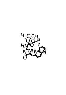 CC(C)(C)OC(=O)NC1=NC(=O)C(=Cc2ccc3ncccc3n2)N1